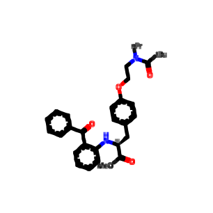 CCCN(CCOc1ccc(C[C@H](Nc2ccccc2C(=O)c2ccccc2)C(=O)OC)cc1)C(=O)C(C)(C)C